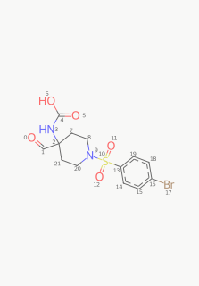 O=CC1(NC(=O)O)CCN(S(=O)(=O)c2ccc(Br)cc2)CC1